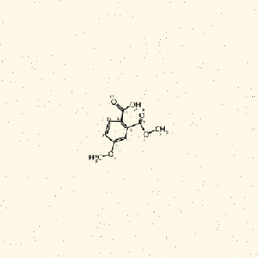 COC(=O)c1cc(OC)ccc1C(=O)O